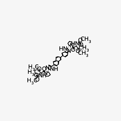 COC(=O)N[C@H](C(=O)N1CCC[C@H]1c1ncc(-c2ccc3cc(-c4ccc5nc([C@@H]6CCCN6C(=O)[C@@H](NC(=O)OC)[C@@H](C)OC)[nH]c5c4)ccc3c2)[nH]1)[C@@H](C)OC